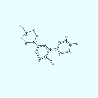 Cc1ccc(-n2cc(N3CCN(C)CC3)ccc2=O)cn1